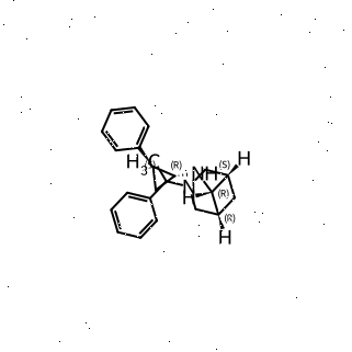 CC(c1ccccc1)N1C[C@H]2C[C@@H](C1)[C@H]2N[C@@H]1C[C@H]1c1ccccc1